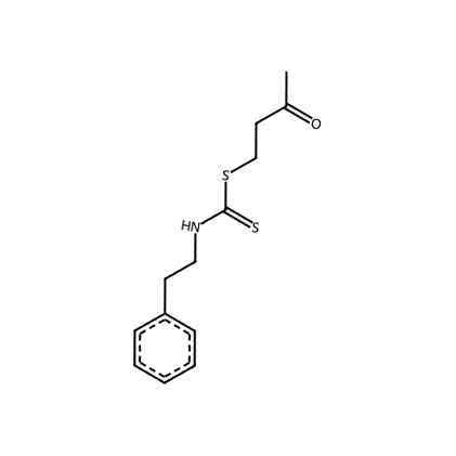 CC(=O)CCSC(=S)NCCc1ccccc1